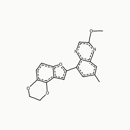 COc1cnc2c(-c3cc4c5c(ccc4o3)OCCO5)cc(C)cc2n1